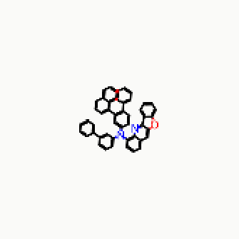 c1ccc(-c2cccc(N(c3ccc(-c4ccccc4)c(-c4cccc5ccccc45)c3)c3cccc4cc5oc6ccccc6c5nc34)c2)cc1